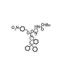 CC(C)(C)OC(=O)N[C@H]1CCN(C[C@@H]2C[C@H](SC(c3ccccc3)(c3ccccc3)c3ccccc3)CN2C(=O)OCc2ccc([N+](=O)[O-])cc2)C1